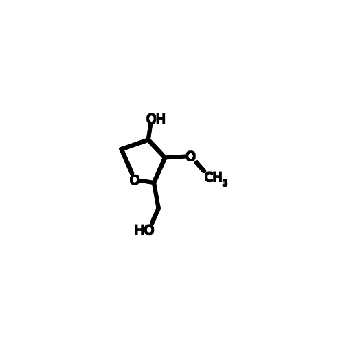 COC1C(O)COC1CO